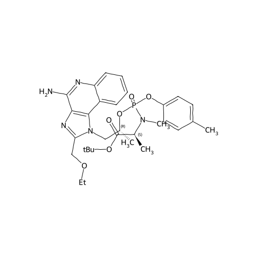 CCOCc1nc2c(N)nc3ccccc3c2n1C[C@@H](C)OP(=O)(Oc1ccc(C)cc1)N(C)[C@@H](C)C(=O)OC(C)(C)C